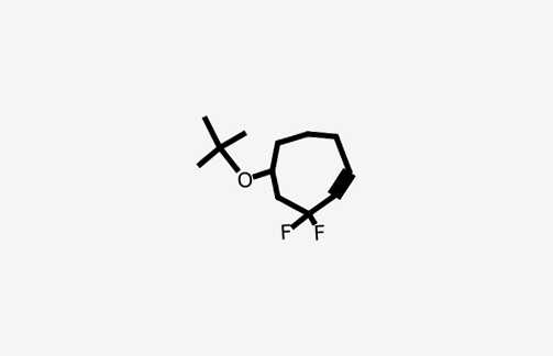 CC(C)(C)OC1CCCC#CC(F)(F)C1